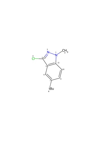 Cn1nc(Cl)c2cc(C(C)(C)C)ccc21